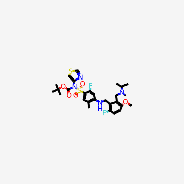 COc1ccc(F)c(CNc2cc(F)c(S(=O)(=O)N(C(=O)OC(C)(C)C)c3cscn3)cc2C)c1CN(C)C(C)C